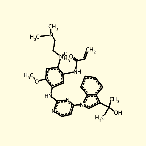 C=CC(=O)Nc1cc(Nc2nccc(-n3cc(C(C)(C)O)c4ccccc43)n2)c(OC)cc1N(C)CCN(C)C